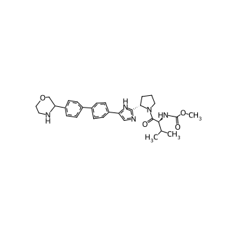 COC(=O)N[C@H](C(=O)N1CCC[C@H]1c1ncc(-c2ccc(-c3ccc(C4COCCN4)cc3)cc2)[nH]1)C(C)C